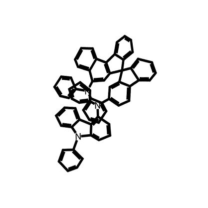 c1ccc(N(c2ccccc2)c2cc3c(c4ccccc24)-c2ccccc2C32c3ccccc3-c3ccc(N(c4ccccc4)c4cccc5c4c4ccccc4n5-c4ccccc4)cc32)cc1